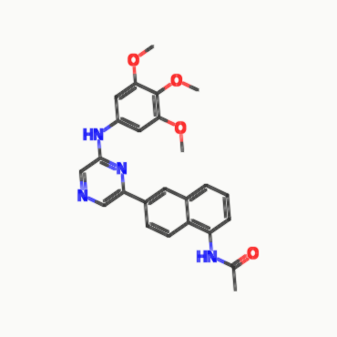 COc1cc(Nc2cncc(-c3ccc4c(NC(C)=O)cccc4c3)n2)cc(OC)c1OC